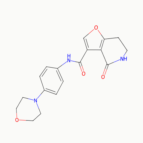 O=C(Nc1ccc(N2CCOCC2)cc1)c1coc2c1C(=O)NCC2